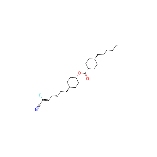 CCCCCC[C@H]1CC[C@H](C(=O)O[C@H]2CC[C@H](CCC=CC=C(F)C#N)CC2)CC1